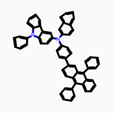 c1ccc(-c2c3ccccc3c(-c3ccccc3)c3cc(-c4ccc(N(c5ccc6ccccc6c5)c5ccc6c(c5)c5ccccc5n6-c5ccccc5)cc4)ccc23)cc1